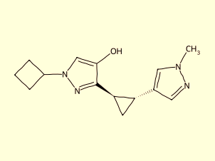 Cn1cc([C@@H]2C[C@H]2c2nn(C3CCC3)cc2O)cn1